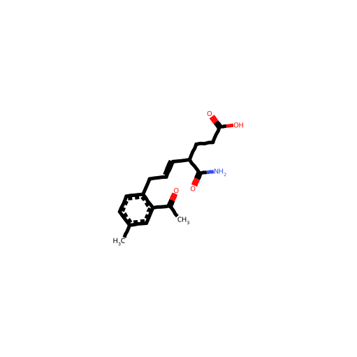 CC(=O)c1cc(C)ccc1C/C=C/C(CCC(=O)O)C(N)=O